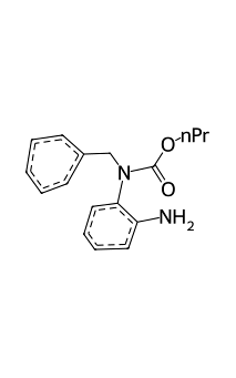 CCCOC(=O)N(Cc1ccccc1)c1ccccc1N